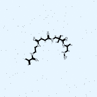 C=C(C)C(=O)OCCOC(=O)CCC(=O)OCC(C)(C)C(=O)OC(C)CSCC